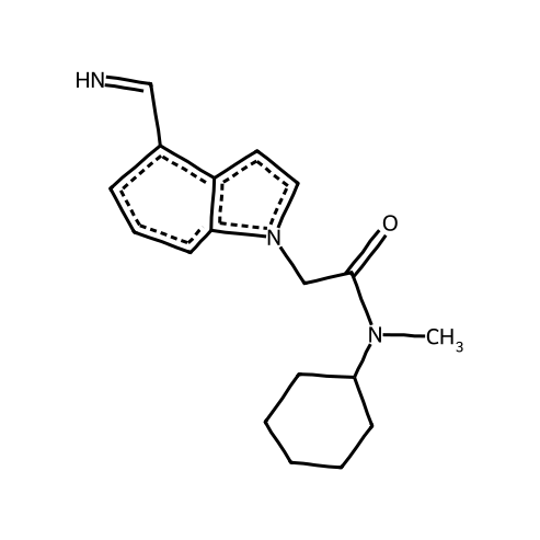 CN(C(=O)Cn1ccc2c(C=N)cccc21)C1CCCCC1